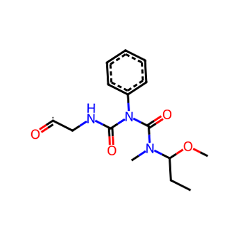 CCC(OC)N(C)C(=O)N(C(=O)NC[C]=O)c1ccccc1